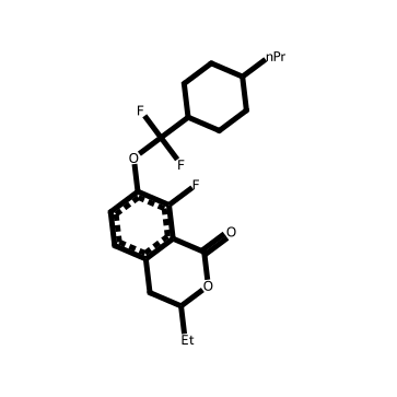 CCCC1CCC(C(F)(F)Oc2ccc3c(c2F)C(=O)OC(CC)C3)CC1